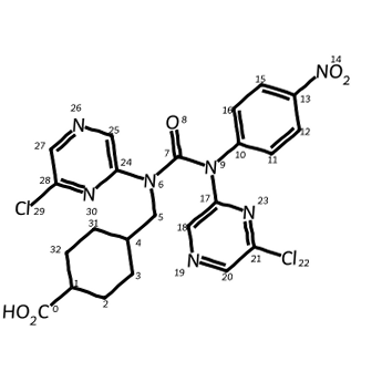 O=C(O)C1CCC(CN(C(=O)N(c2ccc([N+](=O)[O-])cc2)c2cncc(Cl)n2)c2cncc(Cl)n2)CC1